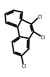 Clc1[c]c2c(Cl)c(Cl)c3c[c]ccc3c2cc1